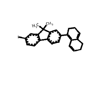 CC1(C)c2cc(I)ccc2-c2ccc(C3=C4C=CCCC4=CCC3)cc21